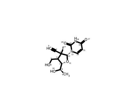 C#CC1(F)C(CO)[C@@H]([C@@H](C)O)O[C@H]1n1ccc(=O)[nH]c1=O